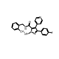 CCCn1nc(-c2ccc(F)cc2)c(-c2ccncc2)c1C(=O)NCc1ccccc1C